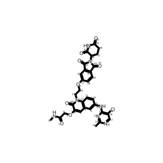 CNC(=O)COc1cc2cc(Nc3nc(C)ncc3Cl)ccc2n(CCOc2ccc3c(c2)C(=O)N(C2CCC(=O)NC2=O)C3=O)c1=O